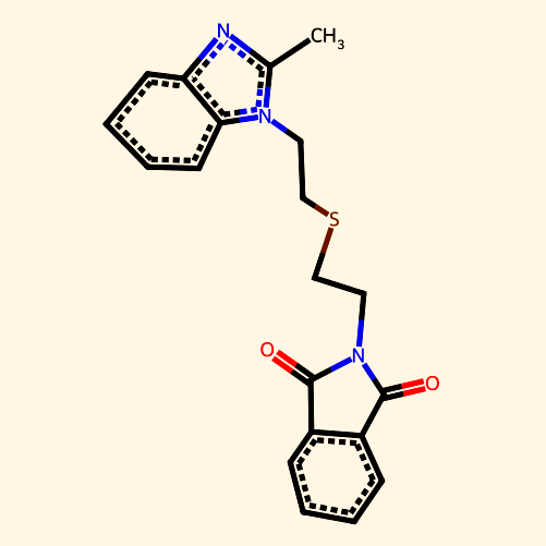 Cc1nc2ccccc2n1CCSCCN1C(=O)c2ccccc2C1=O